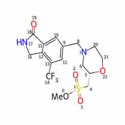 COS(=O)(=O)C[C@@H]1CN(Cc2cc3c(c(C(F)(F)F)c2)CNC3=O)CCO1